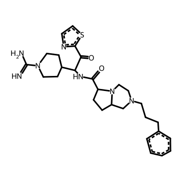 N=C(N)N1CCC(C(NC(=O)C2CCC3CN(CCCc4ccccc4)CCN32)C(=O)c2nccs2)CC1